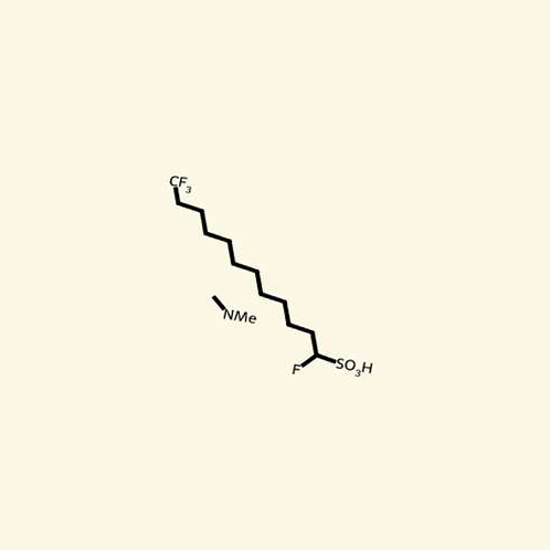 CNC.O=S(=O)(O)C(F)CCCCCCCCCCC(F)(F)F